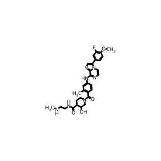 CNCCNC(=O)C1CCN(C(=O)c2ccc(Nc3nccn4c(-c5ccc(OC)c(F)c5)cnc34)cc2C)CC1O